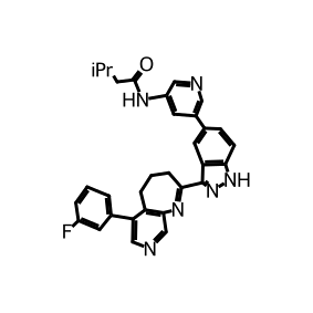 CC(C)CC(=O)Nc1cncc(-c2ccc3[nH]nc(C4=Nc5cncc(-c6cccc(F)c6)c5CCC4)c3c2)c1